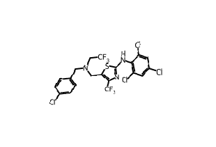 FC(F)(F)CN(Cc1ccc(Cl)cc1)Cc1sc(Nc2c(Cl)cc(Cl)cc2Cl)nc1C(F)(F)F